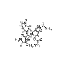 CC(N)C(=O)Oc1cc(OC(=O)C(C)N)c(C(C)C)cc1-c1nn(C(=O)C(C)N)c(=O)n1-c1ccc2c(ccn2C)c1